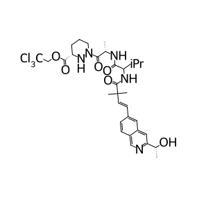 CC(C)C(NC(=O)C(C)(C)/C=C/c1ccc2cnc([C@@H](C)O)cc2c1)C(=O)N[C@@H](C)C(=O)N1CCC[C@@H](C(=O)OCC(Cl)(Cl)Cl)N1